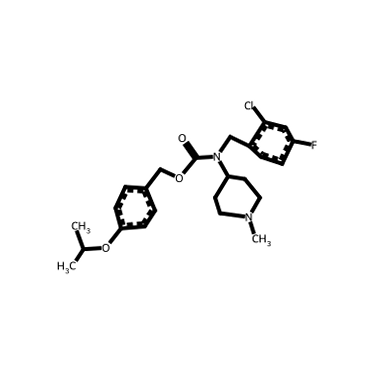 CC(C)Oc1ccc(COC(=O)N(Cc2ccc(F)cc2Cl)C2CCN(C)CC2)cc1